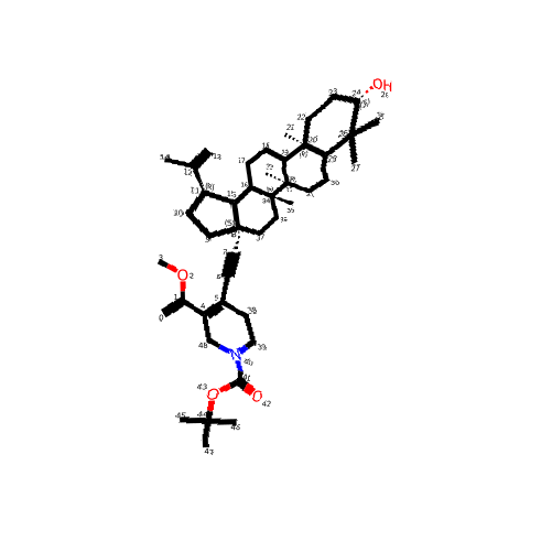 C=C(OC)C1=C(C#C[C@]23CC[C@@H](C(=C)C)C2C2CCC4[C@@]5(C)CC[C@H](O)C(C)(C)C5CC[C@@]4(C)[C@]2(C)CC3)CCN(C(=O)OC(C)(C)C)C1